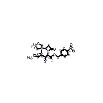 CC[N+](CC)(CC)C1CC(=O)N1/C(C(=O)OCc1ccc([N+](=O)[O-])cc1)=C(/[S-])CCOC